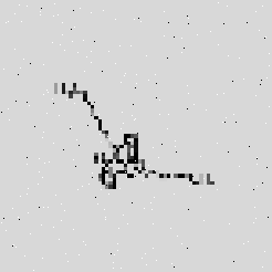 CCCCCCCCC/C(c1ccc[nH]1)=c1/c(C=O)c(CCCCCCCCC)c2cccn2c1=O